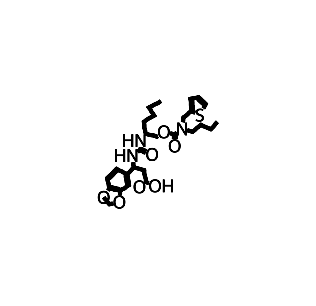 CCCCC(COC(=O)N(CCCC)Cc1cccs1)NC(=O)NC(CC(=O)O)c1ccc2c(c1)OCO2